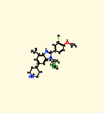 COc1ccc(-c2nc3c(C)cc(C4CCNCC4)cc3n2C)cc1F.Cl.Cl